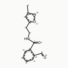 Cc1cc(CCNC(=O)c2ccccc2C=O)on1